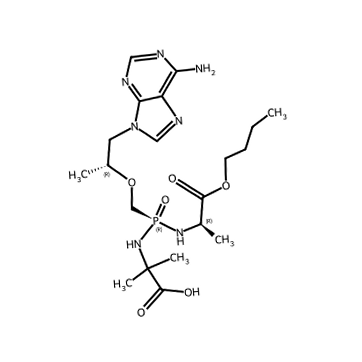 CCCCOC(=O)[C@@H](C)N[P@](=O)(CO[C@H](C)Cn1cnc2c(N)ncnc21)NC(C)(C)C(=O)O